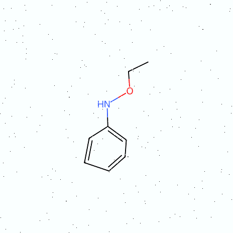 CCONc1c[c]ccc1